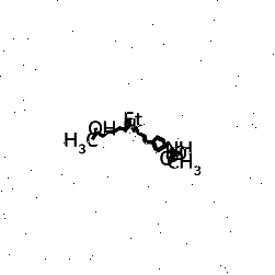 CCN(CCC=Cc1ccc(NS(C)(=O)=O)cc1)CCCCCC(C)O